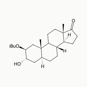 CC(C)CO[C@H]1C[C@]2(C)C3CC[C@]4(C)C(=O)CC[C@H]4[C@@H]3CC[C@H]2C[C@@H]1O